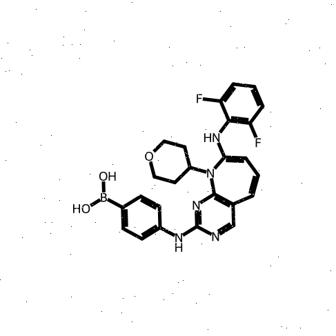 OB(O)c1ccc(Nc2ncc3c(n2)N(C2CCOCC2)C(Nc2c(F)cccc2F)=CC=C3)cc1